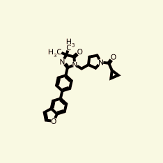 CC1(C)N=C(c2ccc(-c3ccc4occc4c3)cc2)N(CC2CCN(C(=O)C3CC3)C2)C1=O